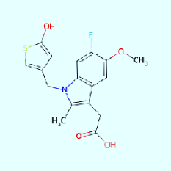 COc1cc2c(CC(=O)O)c(C)n(Cc3csc(O)c3)c2cc1F